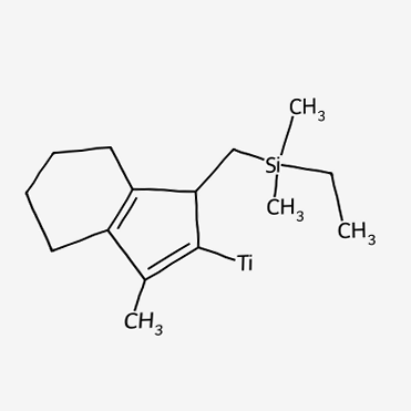 CC[Si](C)(C)CC1[C]([Ti])=C(C)C2=C1CCCC2